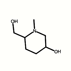 CN1CC(O)CCC1CO